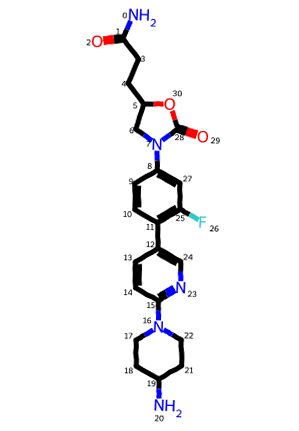 NC(=O)CCC1CN(c2ccc(-c3ccc(N4CCC(N)CC4)nc3)c(F)c2)C(=O)O1